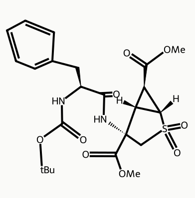 COC(=O)[C@@H]1[C@@H]2[C@H]1S(=O)(=O)C[C@@]2(NC(=O)[C@H](Cc1ccccc1)NC(=O)OC(C)(C)C)C(=O)OC